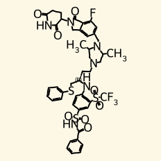 CC1CN(CC[C@H](CSc2ccccc2)Nc2ccc(S(=O)(=O)NC(=O)c3ccccc3)cc2S(=O)(=O)C(F)(F)F)CC(C)N1Cc1cc(F)c2c(c1)CN(C1CCC(=O)NC1=O)C2=O